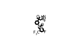 Cn1cnnc1CC1(c2cccc(-n3cc4c(C(F)(F)F)cc(F)cn4c3=O)c2)COC1